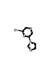 CC(C)c1cncc(-n2ccnc2)n1